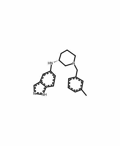 Cc1cccc(CN2CCC[C@@H](Nc3ccc4[nH]ncc4c3)C2)c1